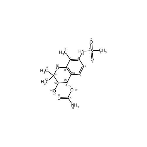 Cc1c(NS(C)(=O)=O)ccc2c1OC(C)(C)C(O)[C@H]2OC(N)=O